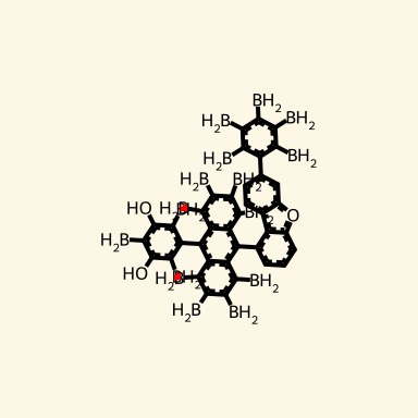 Bc1c(B)c(B)c(-c2ccc3c(c2)oc2cccc(-c4c5c(B)c(B)c(B)c(B)c5c(-c5c(B)c(O)c(B)c(O)c5B)c5c(B)c(B)c(B)c(B)c45)c23)c(B)c1B